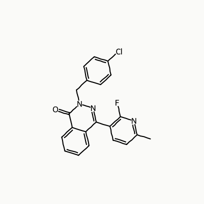 Cc1ccc(-c2nn(Cc3ccc(Cl)cc3)c(=O)c3ccccc23)c(F)n1